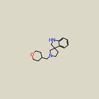 c1ccc2c(c1)NCC21CCN(CC2CCOCC2)C1